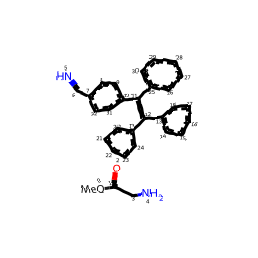 COC(=O)CN.N=Cc1ccc(C(=C(c2ccccc2)c2ccccc2)c2ccccc2)cc1